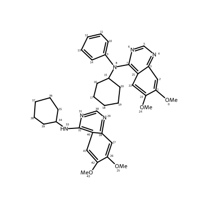 COc1cc2ncnc(N(c3ccccc3)C3CCCCC3)c2cc1OC.COc1cc2ncnc(NC3CCCCC3)c2cc1OC